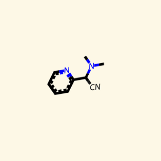 CN(C)C(C#N)c1ccccn1